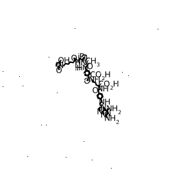 CC(C)[C@H](NC(=O)CCCCCN1C(=O)C=CC1O)C(=O)N[C@@H](C)C(=O)Nc1ccc(C(=O)NCCC[C@H](NC(=O)c2ccc(NCc3cnc4nc(N)nc(N)c4n3)cc2)C(=O)O)c(C(=O)O)c1